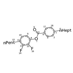 CCCCCCCc1ccc(C(=O)Oc2ccc(CCCCC)c(F)c2F)cc1